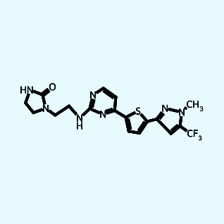 Cn1nc(-c2ccc(-c3ccnc(NCCN4CCNC4=O)n3)s2)cc1C(F)(F)F